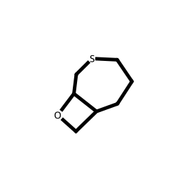 C1CSCC2OCC2C1